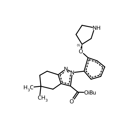 CC(C)COC(=O)c1c2c(nn1-c1ccccc1O[C@H]1CCNC1)CCC(C)(C)C2